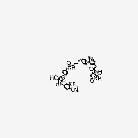 CC(O)(COc1ccc(CNC(=O)CCCCN2CCN(c3cc(CC(=O)N[C@H]4CCC(=O)NC4=O)ccn3)CC2)cc1)C(=O)Nc1ccc(C#N)c(C(F)(F)F)c1